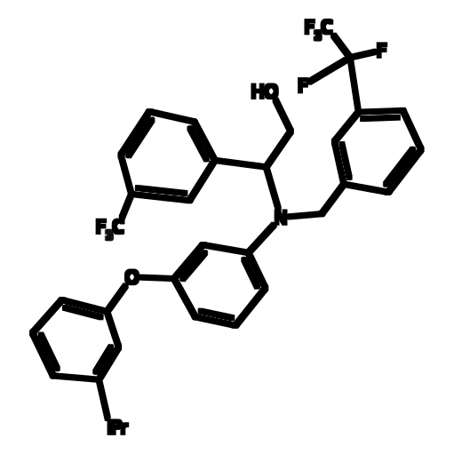 CC(C)c1cccc(Oc2cccc(N(Cc3cccc(C(F)(F)C(F)(F)F)c3)C(CO)c3cccc(C(F)(F)F)c3)c2)c1